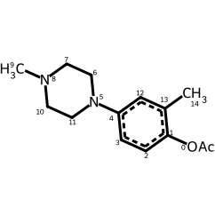 CC(=O)Oc1ccc(N2CCN(C)CC2)cc1C